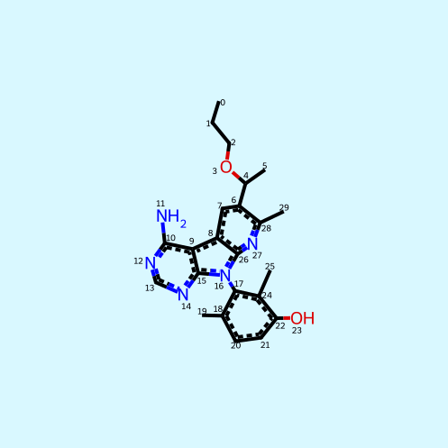 CCCOC(C)c1cc2c3c(N)ncnc3n(-c3c(C)ccc(O)c3C)c2nc1C